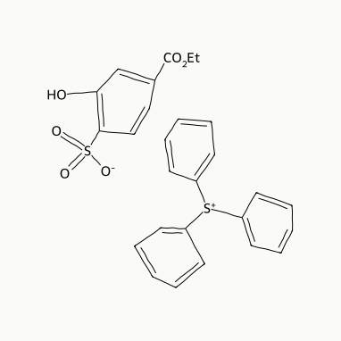 CCOC(=O)c1ccc(S(=O)(=O)[O-])c(O)c1.c1ccc([S+](c2ccccc2)c2ccccc2)cc1